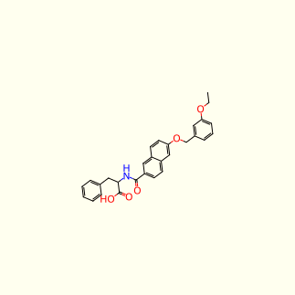 CCOc1cccc(COc2ccc3cc(C(=O)NC(Cc4ccccc4)C(=O)O)ccc3c2)c1